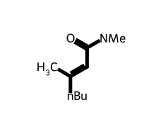 CCCC/C(C)=C/C(=O)NC